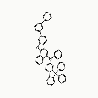 c1ccc(-c2cccc(-c3ccc4c(c3)oc3c5ccccc5c(N(c5ccccc5)c5ccc6c(c5)C(c5ccccc5)(c5ccccc5)c5ccccc5-6)cc43)c2)cc1